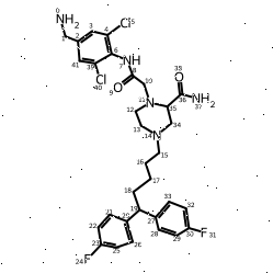 NCc1cc(Cl)c(NC(=O)CN2CCN(CCCCC(c3ccc(F)cc3)c3ccc(F)cc3)CC2C(N)=O)c(Cl)c1